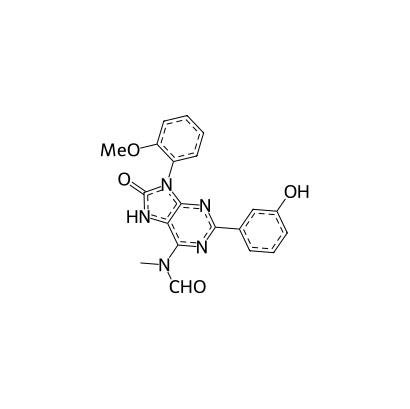 COc1ccccc1-n1c(=O)[nH]c2c(N(C)C=O)nc(-c3cccc(O)c3)nc21